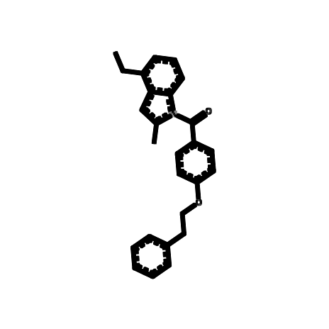 CCc1cccc2c1cc(C)n2C(=O)c1ccc(OCCc2ccccc2)cc1